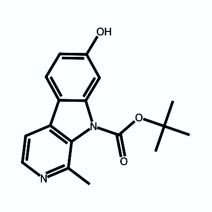 Cc1nccc2c3ccc(O)cc3n(C(=O)OC(C)(C)C)c12